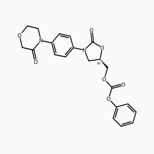 O=C(OC[C@H]1CN(c2ccc(N3CCOCC3=O)cc2)C(=O)O1)Oc1ccccc1